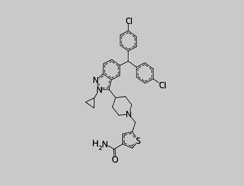 NC(=O)c1csc(CN2CCC(c3c4cc(C(c5ccc(Cl)cc5)c5ccc(Cl)cc5)ccc4nn3C3CC3)CC2)c1